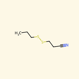 CCCSSCCC#N